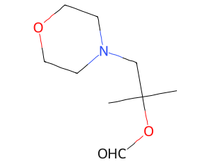 CC(C)(CN1CCOCC1)OC=O